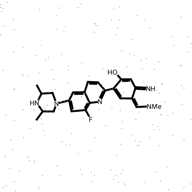 CN/C=C1/C=C(c2ccc3cc(N4CC(C)NC(C)C4)cc(F)c3n2)C(O)=CC1=N